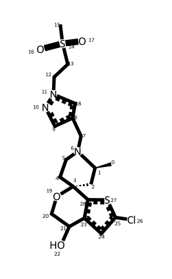 C[C@H]1C[C@@]2(CCN1Cc1cnn(CCS(C)(=O)=O)c1)OCC(O)c1cc(Cl)sc12